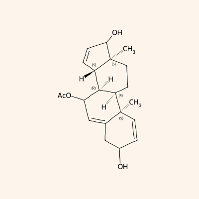 CC(=O)OC1C=C2CC(O)C=C[C@]2(C)[C@@H]2CC[C@]3(C)C(O)C=C[C@H]3[C@H]12